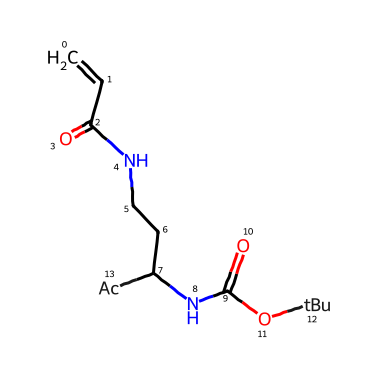 C=CC(=O)NCCC(NC(=O)OC(C)(C)C)C(C)=O